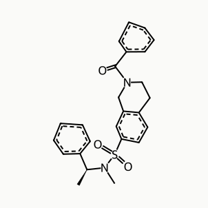 C[C@@H](c1ccccc1)N(C)S(=O)(=O)c1ccc2c(c1)CN(C(=O)c1ccccc1)CC2